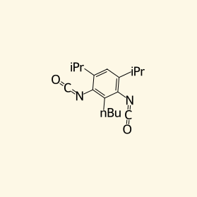 CCCCc1c(N=C=O)c(C(C)C)cc(C(C)C)c1N=C=O